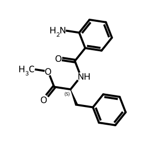 COC(=O)[C@H](Cc1ccccc1)NC(=O)c1ccccc1N